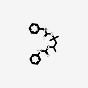 CC(CC(C)(C)OC(=O)Nc1ccccc1)OC(=O)Nc1ccccc1